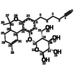 C#CCCCCc1cc(O[C@H]2O[C@H](O)[C@@H](O)[C@H](O)[C@H]2CO)c2c(c1)OC(C)(C)C1CCC(C)=CC21